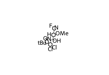 COc1cc(C(O)C(NC(=O)OC(C)(C)C)c2ccc(Cl)c(Cl)c2)ccc1-c1cncc(F)c1